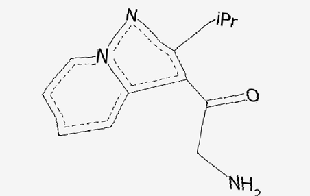 CC(C)c1nn2ccccc2c1C(=O)CN